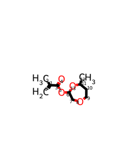 C=C(C)C(=O)OC1COCCC(C)O1